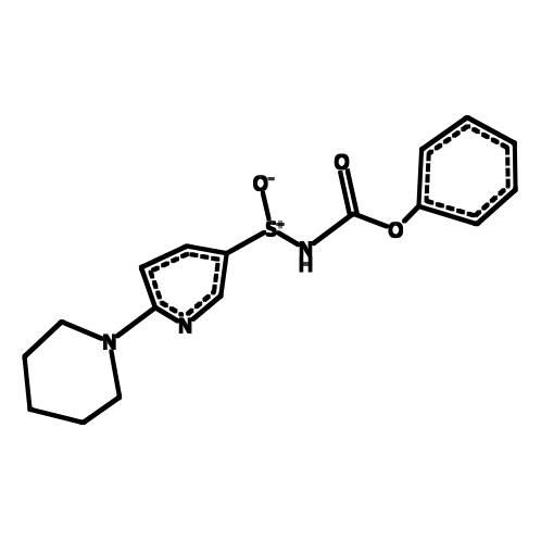 O=C(N[S+]([O-])c1ccc(N2CCCCC2)nc1)Oc1ccccc1